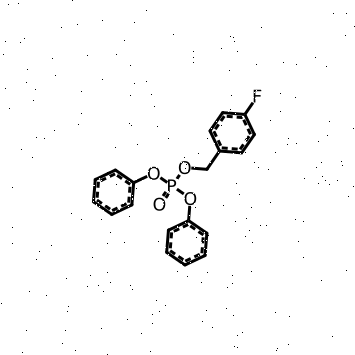 O=P(OCc1ccc(F)cc1)(Oc1ccccc1)Oc1ccccc1